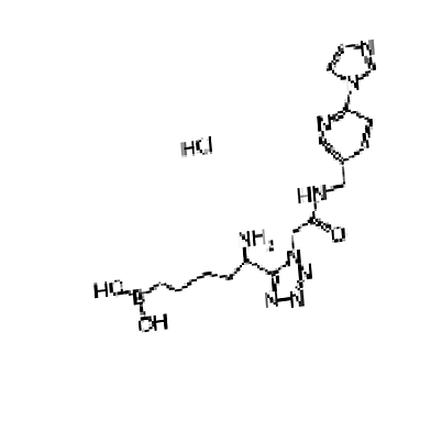 Cl.NC(CCCCB(O)O)c1nnnn1CC(=O)NCc1ccc(-n2ccnc2)nc1